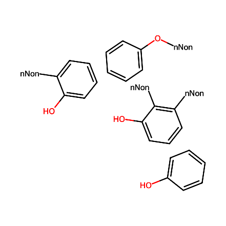 CCCCCCCCCOc1ccccc1.CCCCCCCCCc1cccc(O)c1CCCCCCCCC.CCCCCCCCCc1ccccc1O.Oc1ccccc1